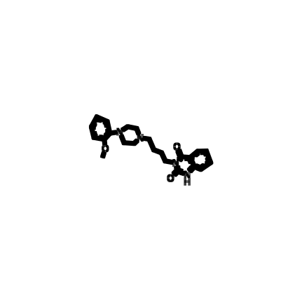 COc1ccccc1N1CCN(CCCCn2c(=O)[nH]c3ccccc3c2=O)CC1